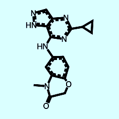 CN1C(=O)COc2ccc(Nc3nc(C4CC4)nc4cn[nH]c34)cc21